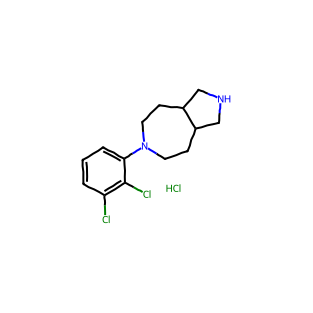 Cl.Clc1cccc(N2CCC3CNCC3CC2)c1Cl